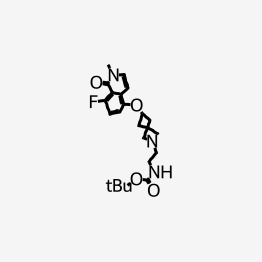 Cn1ccc2c(OC3CC4(C3)CN(CCNC(=O)OC(C)(C)C)C4)ccc(F)c2c1=O